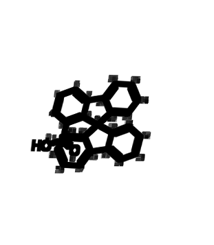 O=S(O)c1cccc2c1C1(c3ccccc3-c3ccccc31)c1ccccc1-2